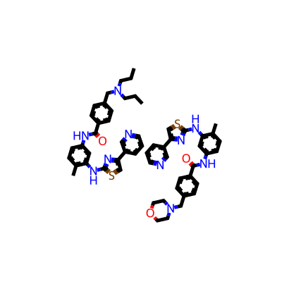 CCCN(CCC)Cc1ccc(C(=O)Nc2ccc(C)c(Nc3nc(-c4cccnc4)cs3)c2)cc1.Cc1ccc(NC(=O)c2ccc(CN3CCOCC3)cc2)cc1Nc1nc(-c2cccnc2)cs1